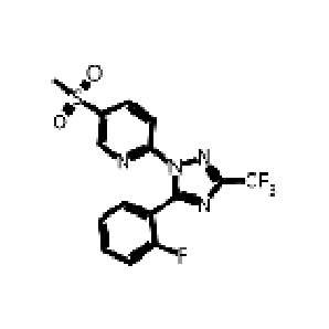 CS(=O)(=O)c1ccc(-n2nc(C(F)(F)F)nc2-c2ccccc2F)nc1